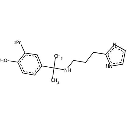 CCCc1cc(C(C)(C)NCCCc2ncc[nH]2)ccc1O